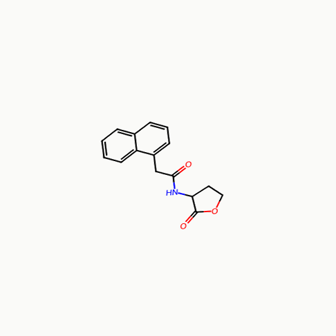 O=C(Cc1cccc2ccccc12)NC1CCOC1=O